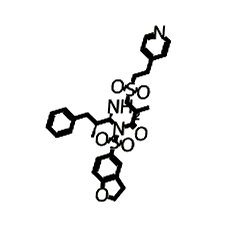 CC(CS(=O)(=O)CCc1ccncc1)C(=O)N([C@H](N)[C@@H](C)Cc1ccccc1)S(=O)(=O)c1ccc2c(c1)CCO2